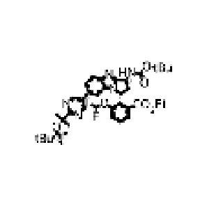 CCOC(=O)c1cccc(OC(F)F)c1[C@H]1C[C@@H](NC(=O)OC(C)(C)C)c2nc3ccc(-c4cnc(C(C)(C)O[Si](C)(C)C(C)(C)C)nc4)cc3n21